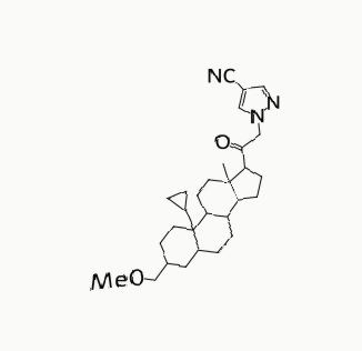 COCC1CCC2(C3CC3)C(CCC3C4CCC(C(=O)Cn5cc(C#N)cn5)C4(C)CCC32)C1